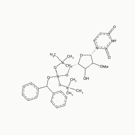 COC1C(O)[C@H](CO[Si](OC(c2ccccc2)c2ccccc2)(O[Si](C)(C)C)O[Si](C)(C)C)O[C@@H]1n1ccc(=O)[nH]c1=O